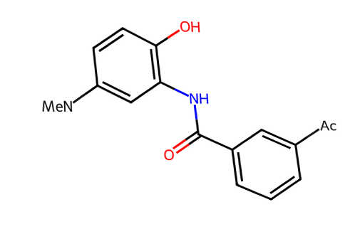 CNc1ccc(O)c(NC(=O)c2cccc(C(C)=O)c2)c1